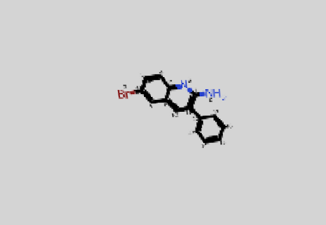 Nc1nc2ccc(Br)cc2cc1-c1ccccc1